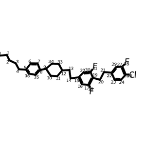 CCCCCc1ccc(C2CCC(CCc3cc(F)c(CCc4ccc(Cl)c(F)c4)c(F)c3)CC2)cc1